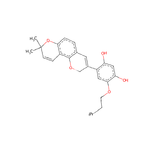 CC(C)CCOc1cc(C2=Cc3ccc4c(c3OC2)C=CC(C)(C)O4)c(O)cc1O